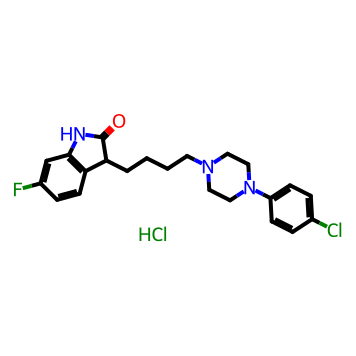 Cl.O=C1Nc2cc(F)ccc2C1CCCCN1CCN(c2ccc(Cl)cc2)CC1